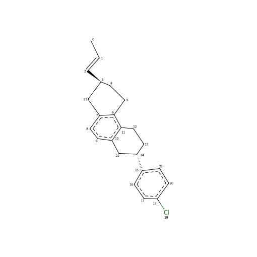 CC=C[C@H]1CCc2c(ccc3c2CC[C@H](c2ccc(Cl)cc2)C3)C1